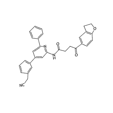 N#CCc1cccc(-c2cc(NC(=O)CCC(=O)c3ccc4c(c3)CCO4)nc(-c3ccccc3)c2)c1